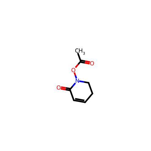 CC(=O)ON1CCC=CC1=O